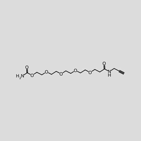 C#CCNC(=O)CCOCCOCCOCCOCCOC(N)=O